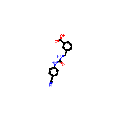 N#Cc1ccc(NC(=O)NCc2cccc(C(=O)O)c2)cc1